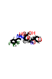 CO[C@@H]1[C@@H](n2cc(-c3ccc(F)c(F)c3F)nn2)[C@@H](O)[C@@H](CO)O[C@@H]1Cc1cc(C2(C)CCOCC2)on1